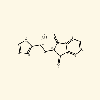 O=C1c2ccccc2C(=O)N1C[C@@H](O)c1ccco1